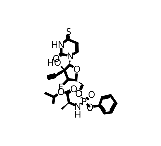 C#C[C@@]1(O)C(F)[C@@H](COP(=O)(N[C@@H](C)C(=O)OC(C)C)Oc2ccccc2)O[C@H]1n1ccc(=S)[nH]c1=O